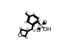 Cc1ccc(S(=O)(=O)O)c(CC2COC2)c1